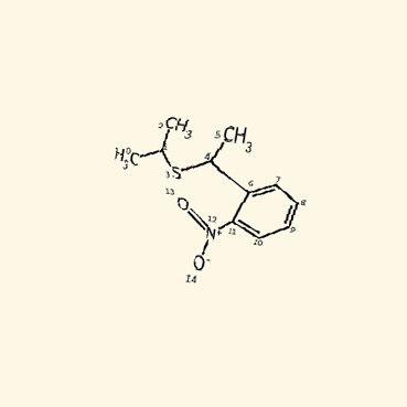 CC(C)SC(C)c1ccccc1[N+](=O)[O-]